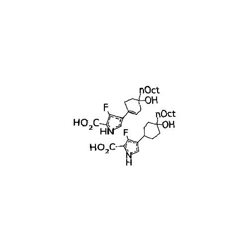 CCCCCCCCC1(O)CC=C(c2c[nH]c(C(=O)O)c2F)CC1.CCCCCCCCC1(O)CCC(c2c[nH]c(C(=O)O)c2F)CC1